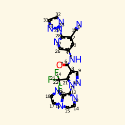 N#Cc1cc(NC(=O)c2cnn(-c3nccn4ccnc34)c2C(F)(F)F)cnc1-n1nccn1